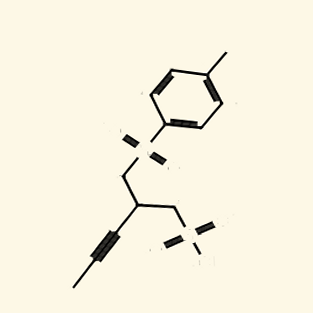 CC#CC(CS(=O)(=O)O)CS(=O)(=O)c1ccc(C)cc1